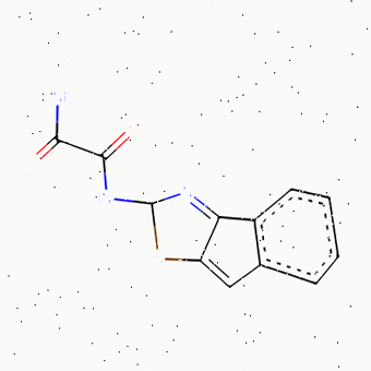 NC(=O)C(=O)NC1N=C2C(=Cc3ccccc32)S1